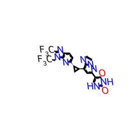 O=c1[nH]cc(-c2cc([C@H]3C[C@@H]3c3ccc4nc(C(F)(F)F)n(CC(F)(F)F)c4n3)c3nccn3n2)c(=O)[nH]1